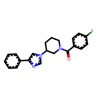 O=C(c1ccc(F)cc1)N1CCCC(n2cnc(-c3ccccc3)c2)C1